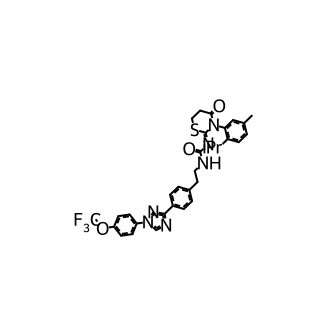 Cc1ccc(C(C)C)c(N2C(=O)CCSC2=NC(=O)NCCc2ccc(-c3ncn(-c4ccc(OC(F)(F)F)cc4)n3)cc2)c1